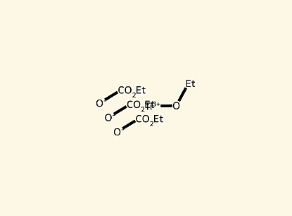 CCOC(=O)[O-].CCOC(=O)[O-].CCOC(=O)[O-].CC[O][Ti+3]